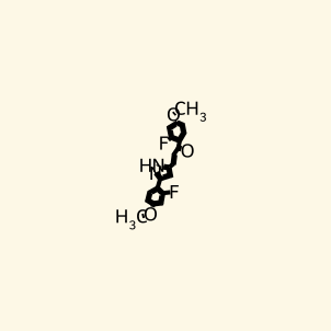 COc1ccc(C(=O)C=Cc2cc(-c3ccc(OC)cc3F)n[nH]2)c(F)c1